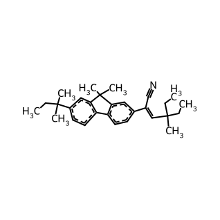 CCC(C)(/C=C(\C#N)c1ccc2c(c1)C(C)(C)c1cc(C(C)(C)CC)ccc1-2)CC